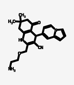 CC1(C)CC(=O)C2=C(C1)NC(COCCN)=C(C#N)C2c1ccn2cccc2c1